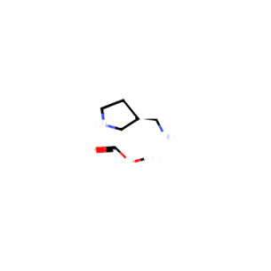 COC=O.NC[C@@H]1CCNC1